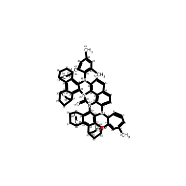 CC1=CC#CC(B2c3ccc4ccc5c6c4c3N(C(=O)N6c3c(c4c(c6c3C3CCC6CC3)C3CCC4CC3)B5c3c(C)cc(C)cc3C)c3c2c2c(c4c3C3CCC4CC3)C3CCC2CC3)C(C)=C1